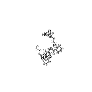 CCCCC1=NC2(CCCCC2)C(=O)N1Cc1ccc(-c2ccccc2OCCCC(C)(C)C(=O)O)cc1